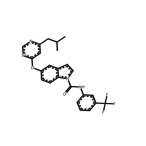 CC(C)Cc1cc(Oc2ccc3c(ccn3C(=O)Nc3cccc(C(F)(F)F)c3)c2)ncn1